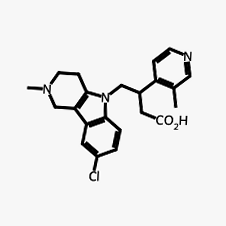 Cc1cnccc1C(CC(=O)O)Cn1c2c(c3cc(Cl)ccc31)CN(C)CC2